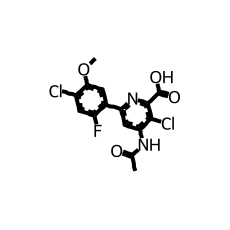 COc1cc(-c2cc(NC(C)=O)c(Cl)c(C(=O)O)n2)c(F)cc1Cl